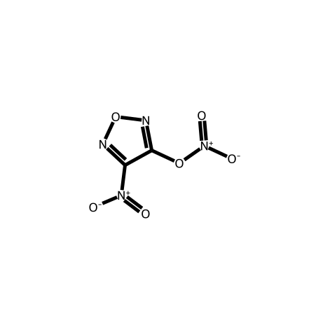 O=[N+]([O-])Oc1nonc1[N+](=O)[O-]